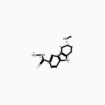 CN[C@@H]1CCc2[nH]c3ccc(C(=O)NO)cc3c2C1